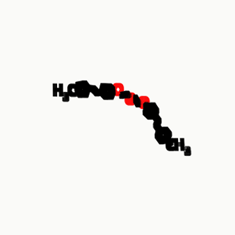 Cc1ccc(CCc2ccc(OCCOCCOc3ccc(CCc4ccc(C)cc4)cc3)cc2)cc1